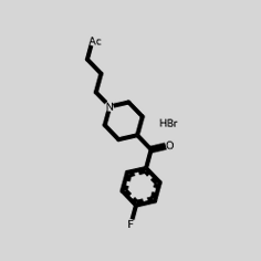 Br.CC(=O)CCCN1CCC(C(=O)c2ccc(F)cc2)CC1